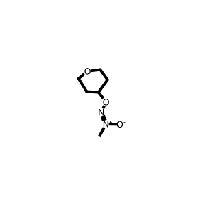 C[N+]([O-])=NOC1CCOCC1